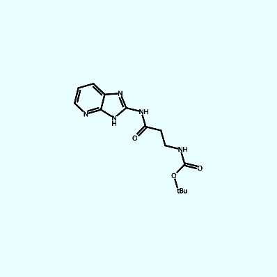 CC(C)(C)OC(=O)NCCC(=O)Nc1nc2cccnc2[nH]1